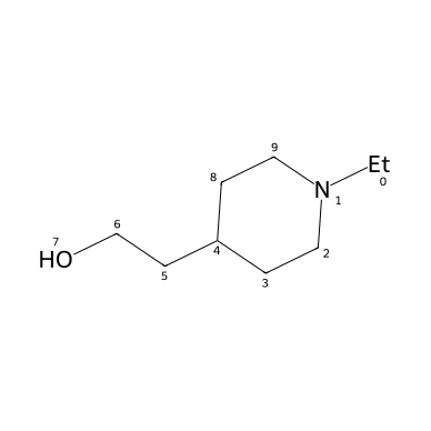 CCN1CCC(CCO)CC1